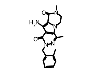 Cc1ccccc1Cn1nc(C)c2c(c(N)c3n2CCN(C)C3=O)c1=O